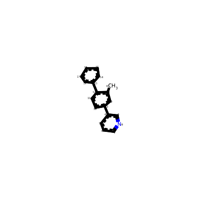 Cc1cc(-c2cccnc2)ccc1-c1ccccc1